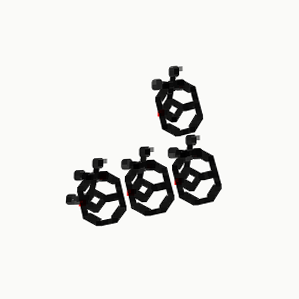 O=S(=O)([O-])c1ccccc/c2cccccc/c1=2.O=S(=O)([O-])c1ccccc/c2cccccc/c1=2.O=S(=O)([O-])c1ccccc/c2cccccc/c1=2.O=S(=O)([O-])c1ccccc/c2cccccc/c1=2.[Ce+4]